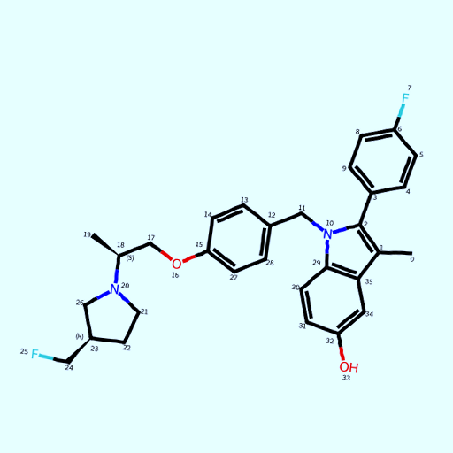 Cc1c(-c2ccc(F)cc2)n(Cc2ccc(OC[C@H](C)N3CC[C@@H](CF)C3)cc2)c2ccc(O)cc12